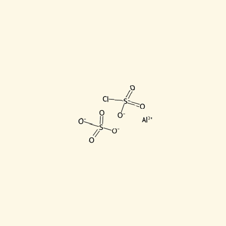 O=S(=O)([O-])Cl.O=S(=O)([O-])[O-].[Al+3]